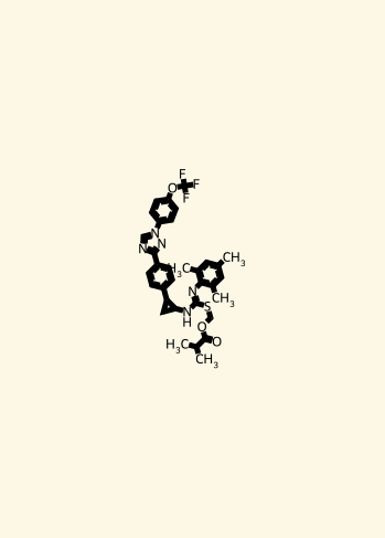 Cc1cc(C)c(/N=C(/NC2CC2c2ccc(-c3ncn(-c4ccc(OC(F)(F)F)cc4)n3)cc2)SCOC(=O)C(C)C)c(C)c1